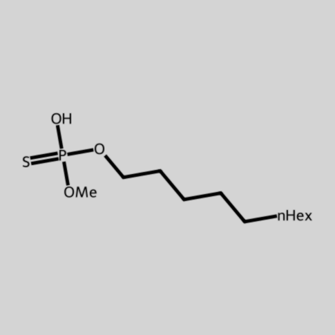 CCCCCCCCCCCOP(O)(=S)OC